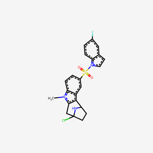 Cn1c2c(c3cc(S(=O)(=O)n4ccc5cc(F)ccc54)ccc31)C1CCC(Cl)(C2)N1